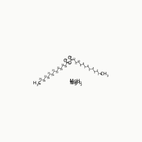 CCCCCCCCCCCCCC(=O)OC(=O)CCCCCCCCCCCCC.[MgH2].[MgH2]